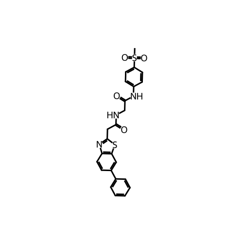 CS(=O)(=O)c1ccc(NC(=O)CNC(=O)Cc2nc3ccc(-c4ccccc4)cc3s2)cc1